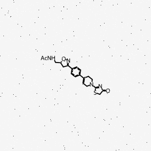 CC(=O)NCC1CC(c2ccc(C3=CCN(C4=NC(=O)CS4)CC3)cc2)=NO1